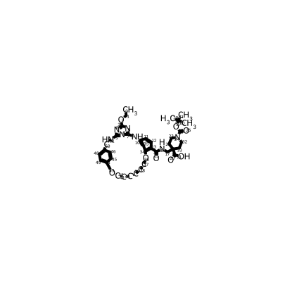 CCOc1nc2nc(n1)Nc1ccc(C(=O)NCC3(C(=O)O)CCN(C(=O)OC(C)(C)C)CC3)c(c1)OCCCCCCOc1ccc(cc1)CN2